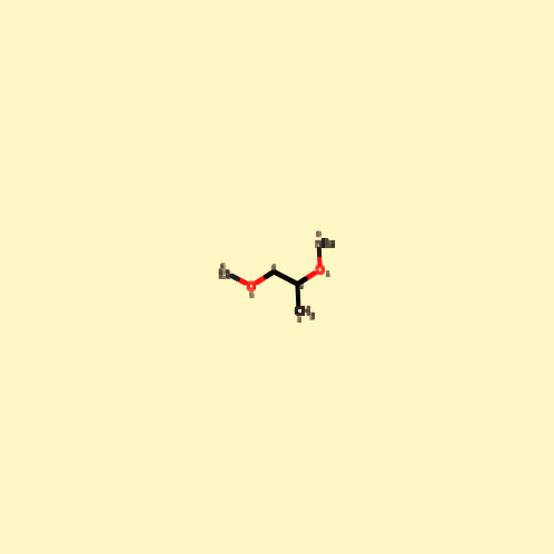 [CH2]CCCOC(C)COC[CH2]